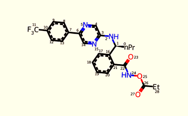 CCC[C@H](Nc1cnc(-c2ccc(C(F)(F)F)cc2)cn1)c1ccccc1C(=O)NOC(=O)CC